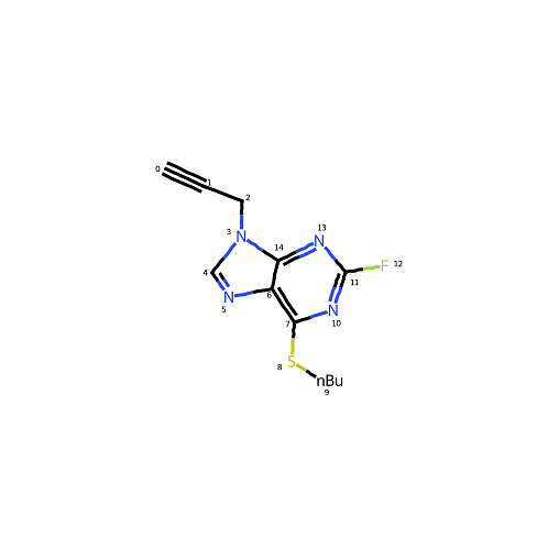 C#CCn1cnc2c(SCCCC)nc(F)nc21